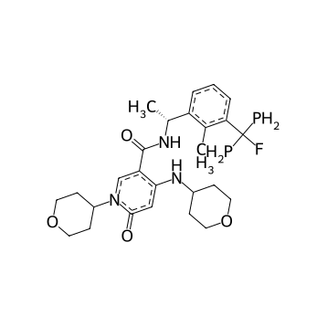 Cc1c([C@@H](C)NC(=O)c2cn(C3CCOCC3)c(=O)cc2NC2CCOCC2)cccc1C(F)(P)P